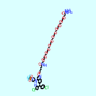 NNC(=O)CCOCCOCCOCCOCCOCCOCCOCCOCCOCCOCCOCCOCCNC(=O)CCCCCOc1cc(NC2CCN(S(=O)(=O)C(F)(F)F)CC2)c2cc(C(c3ccc(Cl)cc3)c3ccc(Cl)cc3)ccc2n1